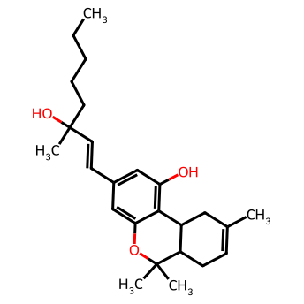 CCCCCC(C)(O)/C=C/c1cc(O)c2c(c1)OC(C)(C)C1CC=C(C)CC21